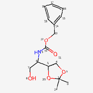 CC1(C)OCC(C(CO)NC(=O)OCc2ccccc2)O1